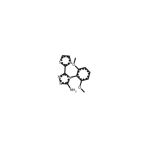 COc1cccc(OC)c1-n1c(N)nnc1-c1nccs1